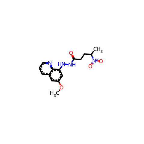 COc1cc(NNC(=O)CCC(C)[N+](=O)[O-])c2ncccc2c1